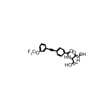 C[C@@H](O)[C@H](NC(=O)c1ccc(C#Cc2cccc(OC(F)(F)F)c2)cc1)C(=O)NO